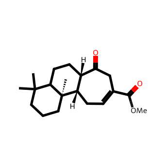 COC(=O)C1=CC[C@H]2[C@H](CCC3C(C)(C)CCC[C@@]32C)C(=O)C1